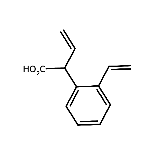 C=Cc1ccccc1C(C=C)C(=O)O